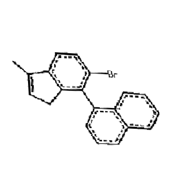 CC1=CCc2c1ccc(Br)c2-c1cccc2ccccc12